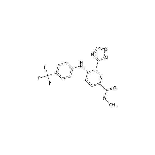 COC(=O)c1ccc(Nc2ccc(C(F)(F)F)cc2)c(-c2ncon2)c1